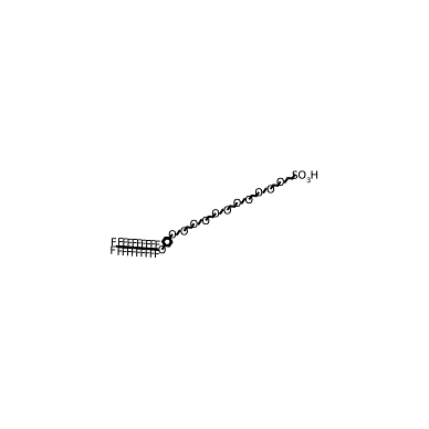 O=S(=O)(O)CCCOCCOCCOCCOCCOCCOCCOCCOCCOCCOCCOc1ccc(OC(F)(F)C(F)(F)C(F)(F)C(F)(F)C(F)(F)C(F)(F)C(F)(F)C(F)(F)C(F)(F)C(F)F)cc1